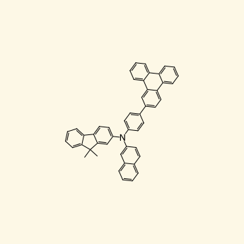 CC1(C)c2ccccc2-c2ccc(N(c3ccc(-c4ccc5c6ccccc6c6ccccc6c5c4)cc3)c3ccc4ccccc4c3)cc21